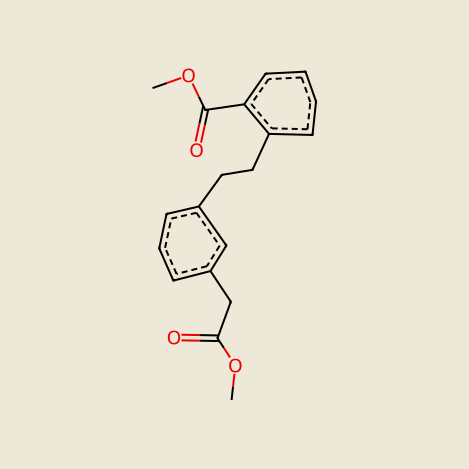 COC(=O)Cc1cccc(CCc2ccccc2C(=O)OC)c1